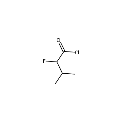 CC(C)C(F)C(=O)Cl